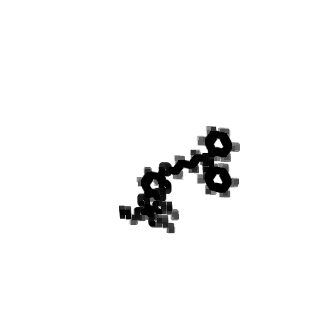 CC(C)(C)OC(=O)/C=C\C(=O)OCCCC[SiH](c1ccccc1)c1ccccc1